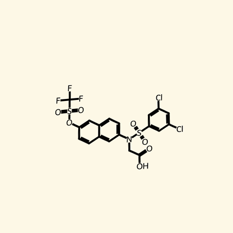 O=C(O)CN(c1ccc2cc(OS(=O)(=O)C(F)(F)F)ccc2c1)S(=O)(=O)c1cc(Cl)cc(Cl)c1